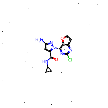 Nc1cc(C(=O)NC2CC2)n(-c2nc(Cl)nc3ccoc23)n1